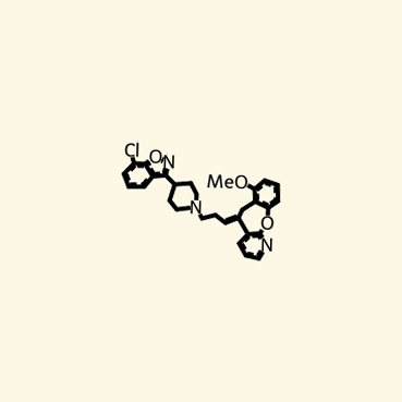 COc1cccc2c1CC(=CCCN1CCC(c3noc4c(Cl)cccc34)CC1)c1cccnc1O2